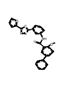 COc1ccc(-c2ccccc2)cc1C(=O)Nc1cccc(-c2nnc(-c3ccco3)o2)c1